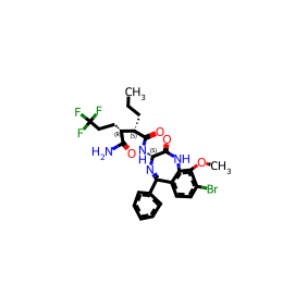 CCC[C@H](C(=O)N[C@H]1N=C(c2ccccc2)c2ccc(Br)c(OC)c2NC1=O)[C@@H](CCC(F)(F)F)C(N)=O